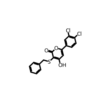 O=c1oc(-c2ccc(Cl)c(Cl)c2)cc(O)c1SCc1ccccc1